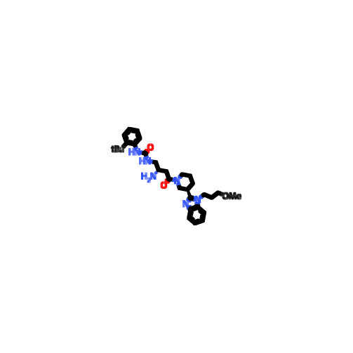 COCCCn1c([C@@H]2CCCN(C(=O)C[C@H](N)CNC(=O)Nc3ccccc3C(C)(C)C)C2)nc2ccccc21